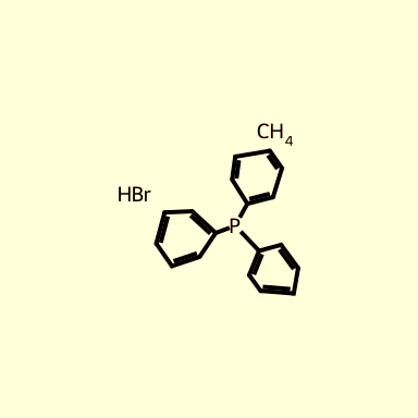 Br.C.c1ccc(P(c2ccccc2)c2ccccc2)cc1